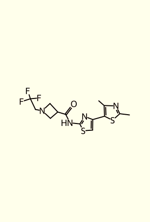 Cc1nc(C)c(-c2csc(NC(=O)C3CN(CC(F)(F)F)C3)n2)s1